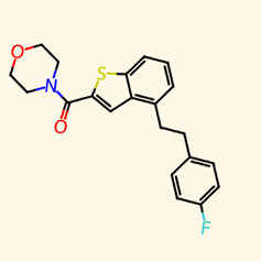 O=C(c1cc2c(CCc3ccc(F)cc3)cccc2s1)N1CCOCC1